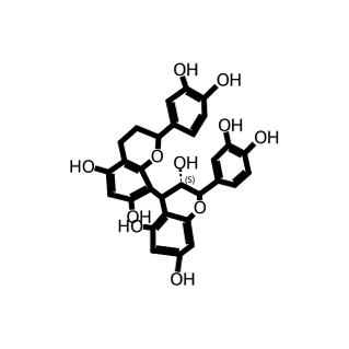 Oc1cc(O)c2c(c1)OC(c1ccc(O)c(O)c1)[C@@H](O)C2c1c(O)cc(O)c2c1OC(c1ccc(O)c(O)c1)CC2